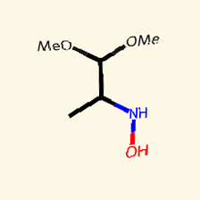 COC(OC)C(C)NO